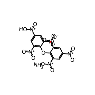 N.O=[N+]([O-])c1cc([N+](=O)[O-])c(Oc2c([N+](=O)[O-])cc([N+](=O)O)cc2[N+](=O)[O-])c([N+](=O)[O-])c1